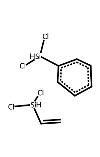 C=C[SiH](Cl)Cl.Cl[SiH](Cl)c1ccccc1